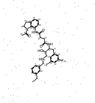 CCc1cccc(CNC[C@@H](O)[C@H](Cc2cc(F)cc(F)c2)NC(=O)CCC(=O)Nc2cccc3c2N(C(C)=O)CC3)c1